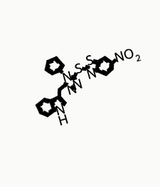 O=[N+]([O-])c1ccc2nc(Sc3nnc(Cc4c[nH]c5ccccc45)n3-c3ccccc3)sc2c1